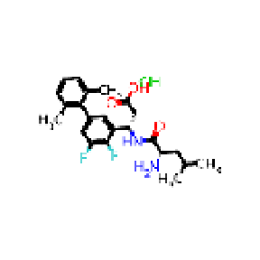 Cc1cccc(C)c1-c1cc(F)c(F)c([C@H](CC(=O)O)NC(=O)[C@@H](N)CC(C)C)c1.Cl